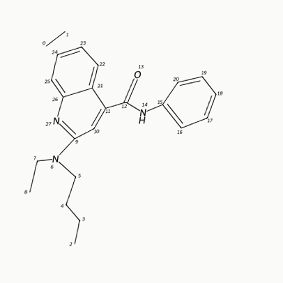 CC.CCCCN(CC)c1cc(C(=O)Nc2ccccc2)c2ccccc2n1